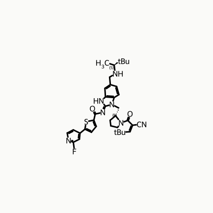 C[C@H](NCc1ccc2c(c1)[nH]c(=NC(=O)c1ccc(-c3ccnc(F)c3)s1)n2C[C@H]1CCCN1C(=O)C(C#N)=CC(C)(C)C)C(C)(C)C